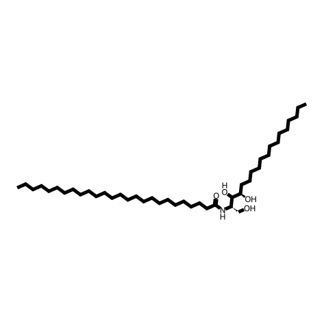 CCCCCCCCCCCCCCCCCCCCCCCCCC(=O)N[C@@H](CO)C(O)[C@H](O)CCCCCCCCCCCCCC